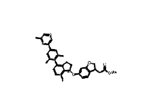 COC(=O)CC1COc2cc(O[C@@H]3CCc4c(-c5c(C)cc(-c6cncc(C)n6)cc5C)ccc(F)c43)ccc21